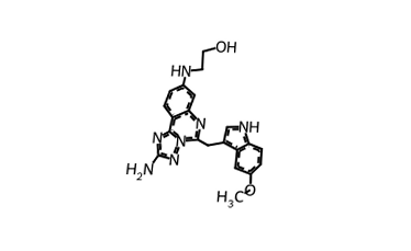 COc1ccc2[nH]cc(Cc3nc4cc(NCCO)ccc4c4nc(N)nn34)c2c1